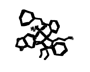 CC[Si](CC)(CC)OC(CCN)C(c1ccccc1OCc1ccccc1)(C(Cc1ccccc1)c1ccc2c(c1)OCO2)S(N)(=O)=O